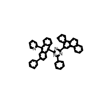 c1ccc(-c2ccc3c(-c4nc(-c5ccccc5)nc(-c5cc6c7ccccc7ccc6c6ccccc56)n4)c4ccccc4c(-c4ccccn4)c3c2)cc1